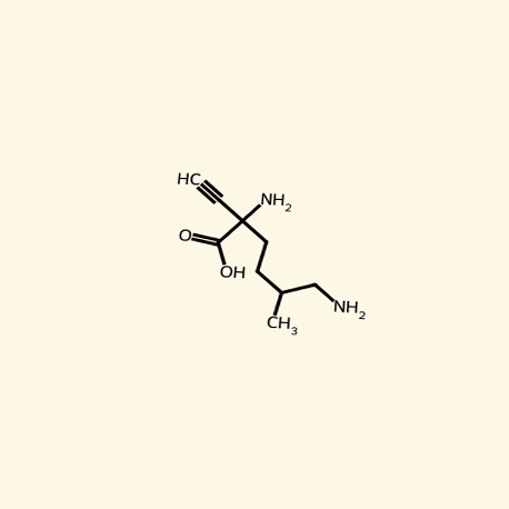 C#CC(N)(CCC(C)CN)C(=O)O